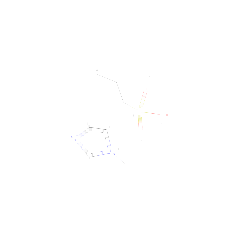 CCCS(=O)(=O)O.Cn1ccnc1